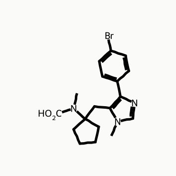 CN(C(=O)O)C1(Cc2c(-c3ccc(Br)cc3)ncn2C)CCCC1